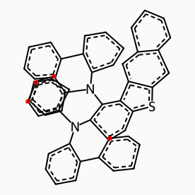 c1ccc(-c2ccccc2N(c2ccccc2)c2ccc3sc4cc5ccccc5cc4c3c2N(c2ccccc2)c2ccccc2-c2ccccc2)cc1